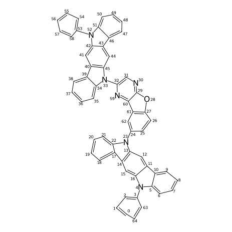 c1ccc(-n2c3ccccc3c3cc4c(cc32)c2ccccc2n4-c2ccc3oc4ncc(-n5c6ccccc6c6cc7c(cc65)c5ccccc5n7-c5ccccc5)nc4c3c2)cc1